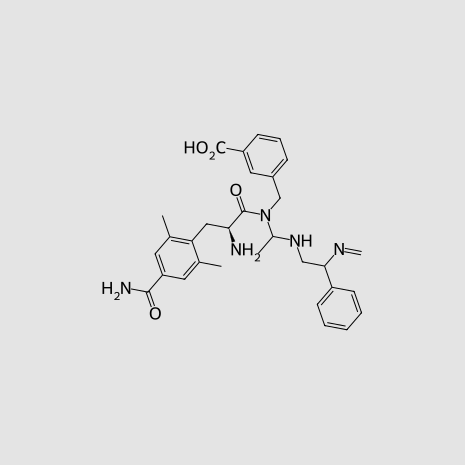 C=NC(CNC(C)N(Cc1cccc(C(=O)O)c1)C(=O)[C@@H](N)Cc1c(C)cc(C(N)=O)cc1C)c1ccccc1